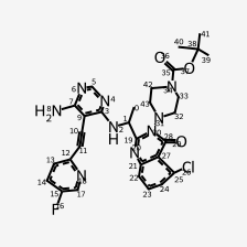 CC(Nc1ncnc(N)c1C#Cc1ccc(F)cn1)c1nc2cccc(Cl)c2c(=O)n1N1CCN(C(=O)OC(C)(C)C)CC1